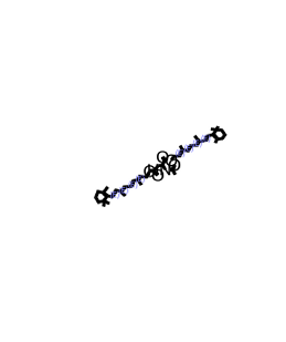 CC(=O)NC(CC(=O)OC/C=C(C)/C=C/C=C(C)/C=C/C1=C(C)CCCC1(C)C)C(=O)OC/C=C(C)/C=C/C=C(C)/C=C/C1=C(C)CCCC1(C)C